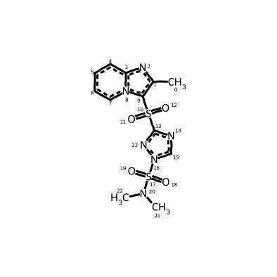 Cc1nc2ccccn2c1S(=O)(=O)c1ncn(S(=O)(=O)N(C)C)n1